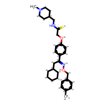 CN1CCC(CNC(=S)COc2ccc(/C(CC3CCCCC3)=N/OCc3ccc(C(F)(F)F)cc3)cc2)CC1